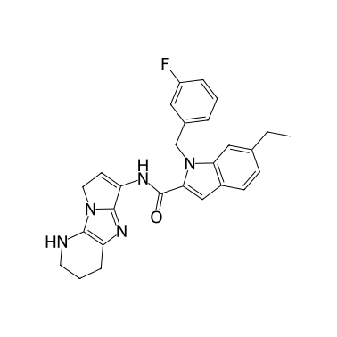 CCc1ccc2cc(C(=O)NC3=CCn4c3nc3c4NCCC3)n(Cc3cccc(F)c3)c2c1